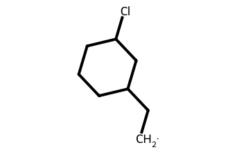 [CH2]CC1CCCC(Cl)C1